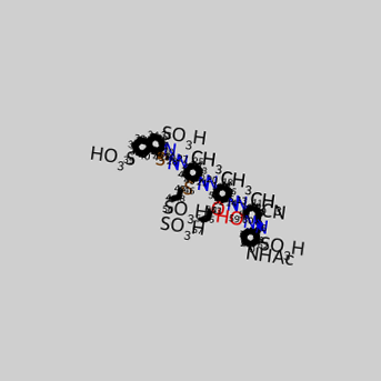 CC(=O)Nc1ccc2c(nc3c(C#N)c(C)c(N=Nc4cc(C)c(N=Nc5cc(C)c(N=Nc6nc7c(S(=O)(=O)O)cc8ccc(S(=O)(=O)O)cc8c7s6)cc5SCCCS(=O)(=O)O)cc4OCCCS(=O)(=O)O)c(O)n32)c1S(=O)(=O)O